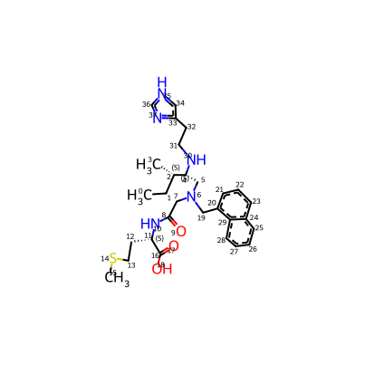 CC[C@H](C)[C@@H](CN(CC(=O)N[C@@H](CCSC)C(=O)O)Cc1cccc2ccccc12)NCCc1c[nH]cn1